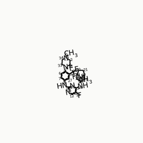 CN1CCN(c2ccc(Nc3ncc(F)c(NC4CC5CCC(C4)N5C)n3)cc2C(F)(F)F)CC1